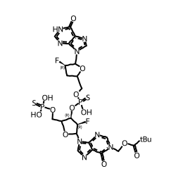 CC(C)(C)C(=O)OCn1cnc2c(ncn2C2OC(COP(O)(O)=S)[C@@H](OP(O)(=S)OCC3C[C@@H](F)C(n4cnc5c(=O)[nH]cnc54)O3)[C@H]2F)c1=O